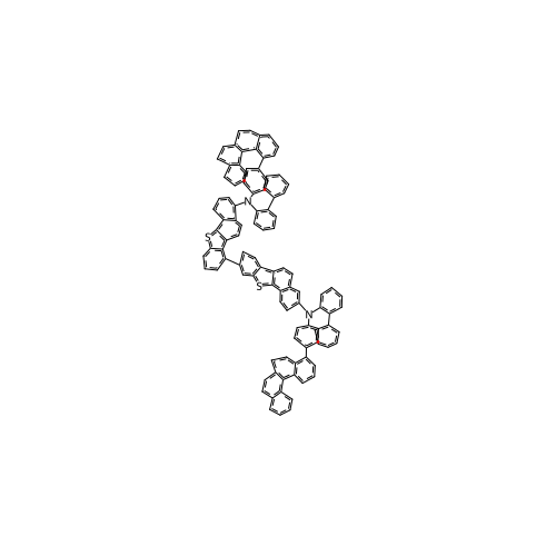 c1ccc(-c2ccccc2N(c2ccc(-c3cccc4c3ccc3ccc5ccccc5c34)cc2)c2ccc3c(ccc4c5ccc(-c6cccc7sc8c9cccc(N(c%10ccc(-c%11cccc%12ccc%13ccc%14ccccc%14c%13c%11%12)cc%10)c%10ccccc%10-c%10ccccc%10)c9ccc8c67)cc5sc34)c2)cc1